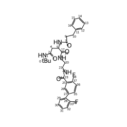 CC(C)(C)NC(=O)CC(NC(=O)CCc1ccccc1)C(=O)NCCNC(=O)c1cc(-c2ccccc2F)ccc1F